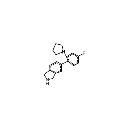 Fc1ccc(-c2ccc3c(c2)CNC3)c(N2CCCC2)c1